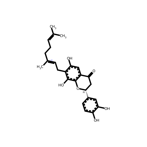 CC(C)=CCC/C(C)=C/Cc1c(O)cc2c(c1O)O[C@@H](c1ccc(O)c(O)c1)CC2=O